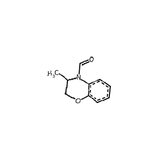 CC1COc2ccccc2N1C=O